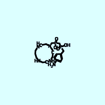 Nc1ccc(CP(=O)(O)CP(=O)(O)CN2CCCNCCNCCCNCC2)cc1